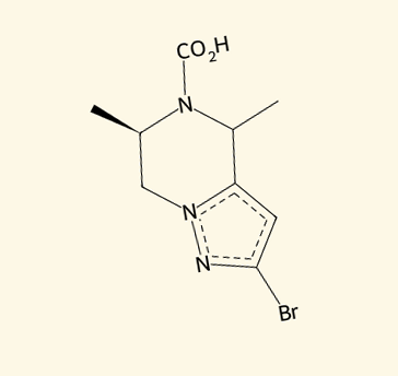 CC1c2cc(Br)nn2C[C@@H](C)N1C(=O)O